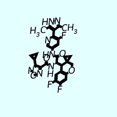 Cc1n[nH]c(C)c1-c1ncc(NC(=O)[C@@H](NC(=O)c2nonc2C2CC2)C2c3cc(F)c(F)cc3OCC23CC3)cc1F